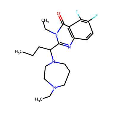 CCCC(c1nc2ccc(F)c(F)c2c(=O)n1CC)N1CCCN(CC)CC1